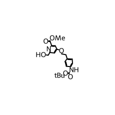 COC(=O)c1cc(OCCc2ccc(NC(=O)OC(C)(C)C)cc2)cc(CO)n1